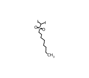 CCCCCCCCS(=O)(=O)C(I)I